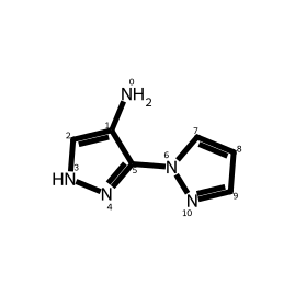 Nc1c[nH]nc1-n1cccn1